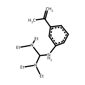 C=C(C)c1cccc([SiH2]C(N(CC)CC)N(CC)CC)c1